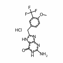 COc1ccc(Cc2nc3nc(N)[nH]c(=O)c3[nH]2)cc1C(F)(F)F.Cl